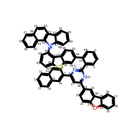 c1ccc(-c2nc(-c3ccc4ccccc4c3)cc(-c3ccc4oc5ccccc5c4c3)n2)c(-c2ccc3c(c2)sc2cccc(-n4c5ccccc5c5ccc6ccccc6c54)c23)c1